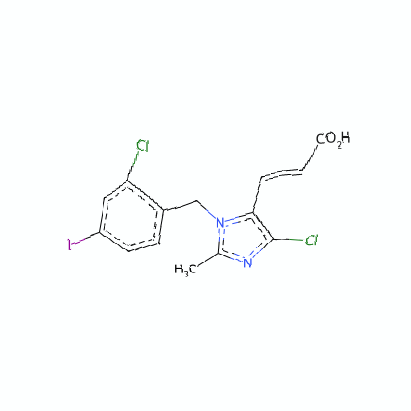 Cc1nc(Cl)c(C=CC(=O)O)n1Cc1ccc(I)cc1Cl